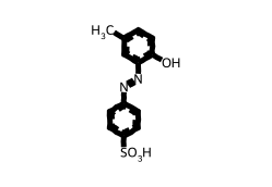 Cc1ccc(O)c(N=Nc2ccc(S(=O)(=O)O)cc2)c1